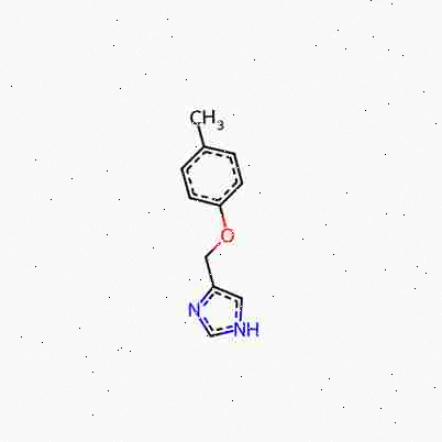 Cc1ccc(OCc2c[nH]cn2)cc1